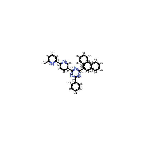 Cc1cccc(-c2ccc(-c3nc(-c4ccccc4)nc(-c4cc5ccccc5c5ccccc45)n3)cn2)n1